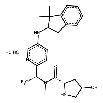 CN(C(=O)[C@@H]1C[C@@H](O)CN1)[C@@H](c1ccc(NC2Cc3ccccc3C2(C)C)cn1)C(F)(F)F.Cl.Cl